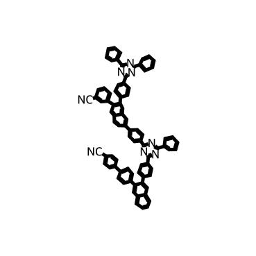 N#Cc1ccc(-c2ccc(-c3cc4ccccc4cc3-c3ccc(-c4nc(-c5ccccc5)nc(-c5ccc(-c6ccc7cc(-c8cccc(C#N)c8)c(-c8ccc(-c9nc(-c%10ccccc%10)nc(-c%10ccccc%10)n9)cc8)cc7c6)cc5)n4)cc3)cc2)cc1